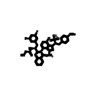 COc1ccc(CN(c2nn(C)c3c(-n4c(C(Cc5cc(F)cc(F)c5)NC(=O)OC(C)(C)C)nc5ccccc5c4=O)ccc(Cl)c23)S(C)(=O)=O)cc1